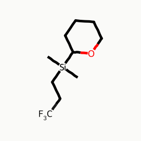 C[Si](C)(CCC(F)(F)F)C1CCCCO1